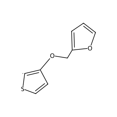 [c]1sccc1OCc1ccco1